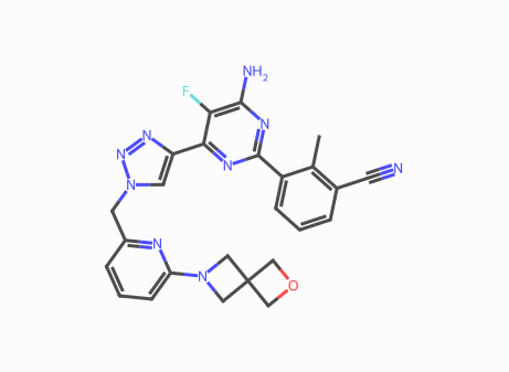 Cc1c(C#N)cccc1-c1nc(N)c(F)c(-c2cn(Cc3cccc(N4CC5(COC5)C4)n3)nn2)n1